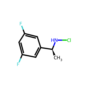 C[C@H](NCl)c1cc(F)cc(F)c1